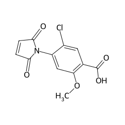 COc1cc(N2C(=O)C=CC2=O)c(Cl)cc1C(=O)O